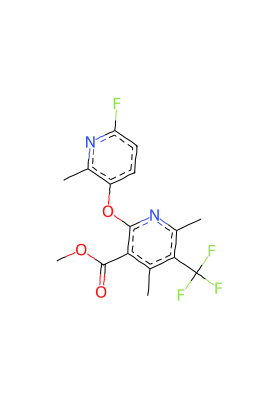 COC(=O)c1c(Oc2ccc(F)nc2C)nc(C)c(C(F)(F)F)c1C